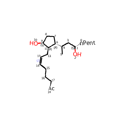 CCCCC[C@H](O)CC(C)[C@H]1CC[C@H](O)[C@@H]1C/C=C\CCCC(C)=O